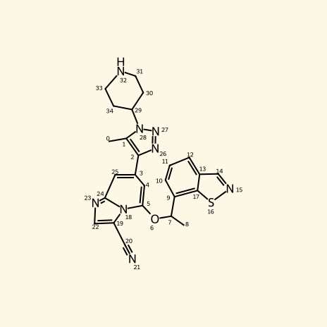 Cc1c(-c2cc(OC(C)c3cccc4cnsc34)n3c(C#N)cnc3c2)nnn1C1CCNCC1